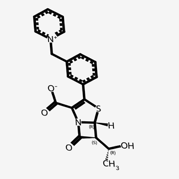 C[C@@H](O)[C@H]1C(=O)N2C(C(=O)[O-])=C(c3cccc(C[n+]4ccccc4)c3)S[C@H]12